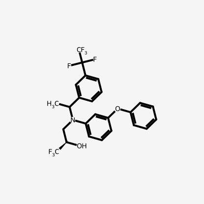 CC(c1cccc(C(F)(F)C(F)(F)F)c1)N(C[C@@H](O)C(F)(F)F)c1cccc(Oc2ccccc2)c1